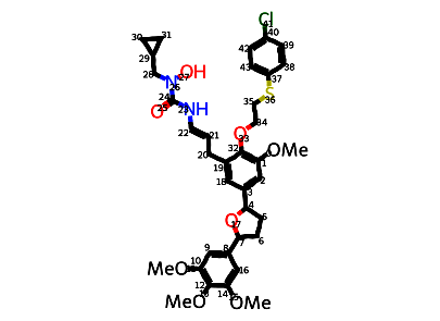 COc1cc(C2CCC(c3cc(OC)c(OC)c(OC)c3)O2)cc(C/C=C/NC(=O)N(O)CC2CC2)c1OCCSc1ccc(Cl)cc1